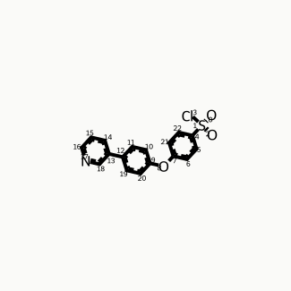 O=S(=O)(Cl)c1ccc(Oc2ccc(-c3cccnc3)cc2)cc1